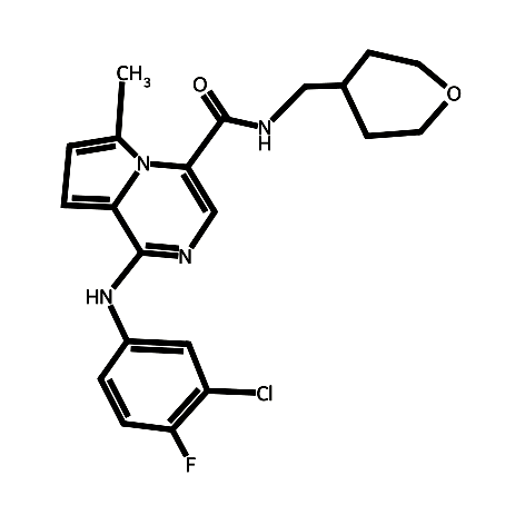 Cc1ccc2c(Nc3ccc(F)c(Cl)c3)ncc(C(=O)NCC3CCOCC3)n12